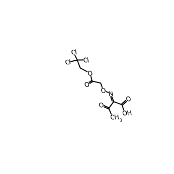 CC(=O)/C(=N\OCC(=O)OCC(Cl)(Cl)Cl)C(=O)O